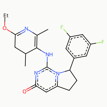 CCOC1=NC(C)=C(Nc2nc(=O)cc3n2C(c2cc(F)cc(F)c2)CC3)C(C)C1